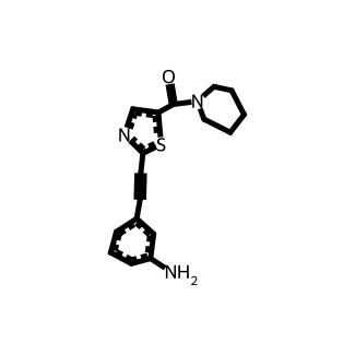 Nc1cccc(C#Cc2ncc(C(=O)N3CCCCC3)s2)c1